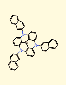 C[Si]12c3c4cccc3N(c3ccc5ccccc5c3)c3cccc(c31)N(c1ccc3ccccc3c1)c1cccc(c12)N4c1ccc2ccccc2c1